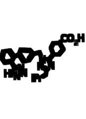 CC(C)Cc1nc(C2CCC(C(=O)O)CC2)n(Cc2ccc(-c3ccccc3-c3nnn[nH]3)cc2)n1